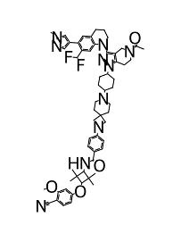 COc1cc(OC2C(C)(C)C(NC(=O)c3ccc(N4CC5(CCN(C6CCC(n7nc(N8CCCc9cc(-c%10cnn(C)c%10)c(C(F)F)cc98)c8c7CCN(C(C)=O)C8)CC6)CC5)C4)cc3)C2(C)C)ccc1C#N